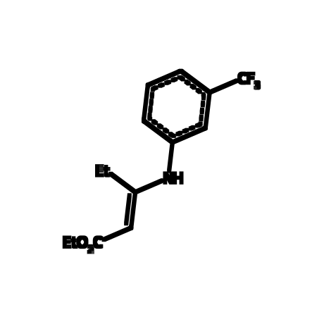 CCOC(=O)/C=C(\CC)Nc1cccc(C(F)(F)F)c1